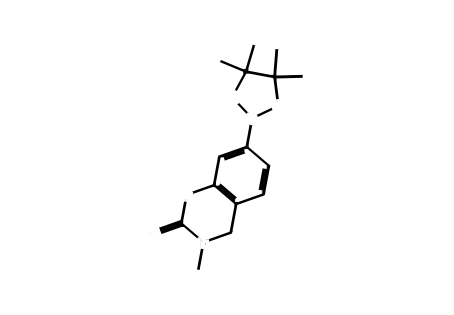 CN1Cc2ccc(B3OC(C)(C)C(C)(C)O3)cc2OC1=O